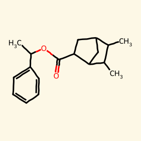 CC(OC(=O)C1CC2CC1C(C)C2C)c1ccccc1